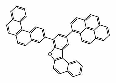 c1ccc2c(c1)ccc1ccc3cc(-c4cc(-c5ccc6ccc7cccc8ccc5c6c78)cc5c4oc4ccc6ccccc6c45)ccc3c12